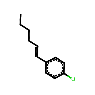 CCCCC=Cc1ccc(Cl)cc1